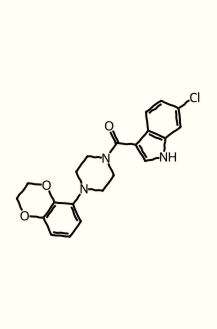 O=C(c1c[nH]c2cc(Cl)ccc12)N1CCN(c2cccc3c2OCCO3)CC1